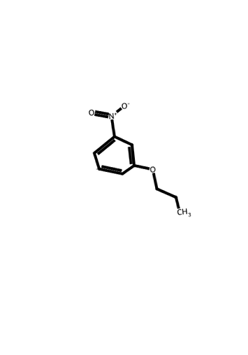 CCCOc1c[c]cc([N+](=O)[O-])c1